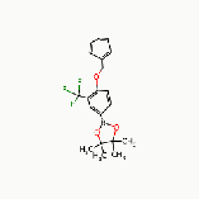 CC1(C)OB(c2ccc(OCc3ccccc3)c(C(F)(F)F)c2)OC1(C)C